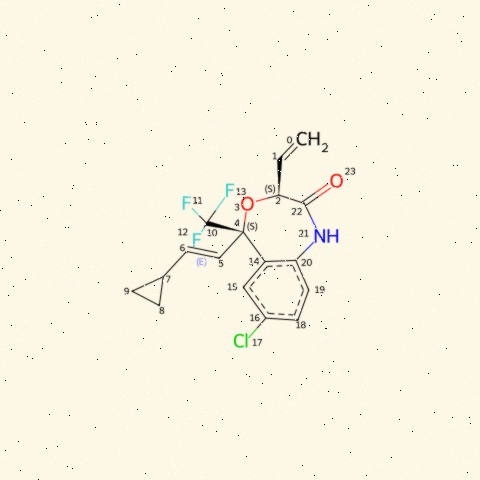 C=C[C@@H]1O[C@](/C=C/C2CC2)(C(F)(F)F)c2cc(Cl)ccc2NC1=O